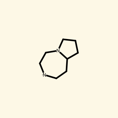 C1CC2CC[N]CCN2C1